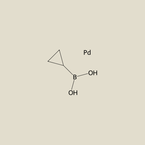 OB(O)C1CC1.[Pd]